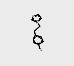 Brc1ccc(CCn2[c]ncc2)cc1